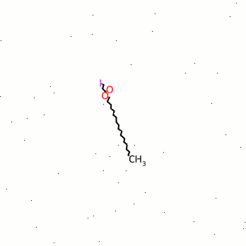 CCCCCCCCCCCCCCCCCCCOC(=O)CCI